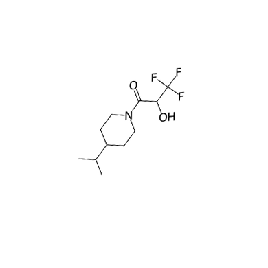 CC(C)C1CCN(C(=O)C(O)C(F)(F)F)CC1